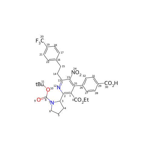 CCOC(=O)c1c(C2CCCN2C(=O)OC(C)(C)C)nc(CCc2ccc(C(F)(F)F)cc2)c([N+](=O)[O-])c1-c1ccc(C(=O)O)cc1